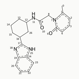 Cc1cccc(=O)n1CC(=O)NC1CCCC(c2nc3ccccc3[nH]2)C1